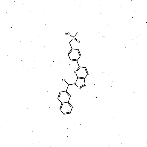 CP(=O)(O)Cc1ccc(-c2cnc3nnn(C(Cl)c4ccc5ncccc5c4)c3n2)cc1